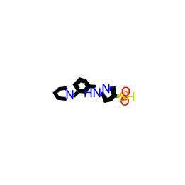 O=[SH](=O)c1ccc(NCc2cccc(CN3CCCCC3)c2)nc1